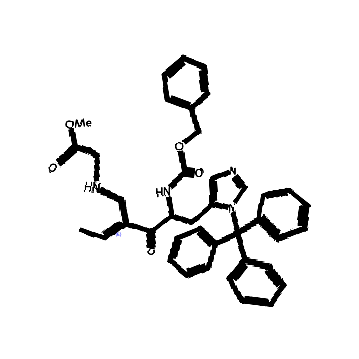 C/C=C(\CNCC(=O)OC)C(=O)C(Cc1cncn1C(c1ccccc1)(c1ccccc1)c1ccccc1)NC(=O)OCc1ccccc1